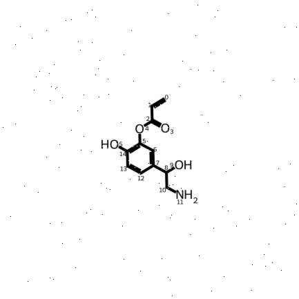 C=CC(=O)Oc1cc(C(O)CN)ccc1O